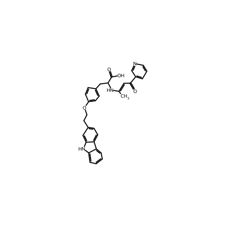 CC(=CC(=O)c1cccnc1)NC(Cc1ccc(OCCc2ccc3c(c2)[nH]c2ccccc23)cc1)C(=O)O